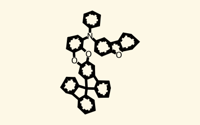 c1ccc(N(c2ccc3oc4ccccc4c3c2)c2cccc3c2Oc2cc4c(cc2O3)C2(c3ccccc3-c3ccccc32)c2ccccc2-4)cc1